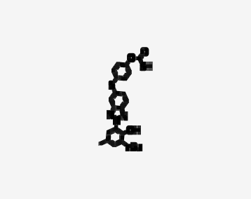 CCCCc1cc(C)cc(-n2nc3ccc(Sc4ccc(OC(=O)S)cc4)cc3n2)c1O